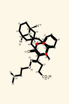 CC1CC2CC(C1)CC(N1[C@@H]3CCC[C@H]1C[C@@H](n1c(=O)c(/C(CCC(=O)O)=N/OCCN(C)C)nc4ccccc41)C3)C2